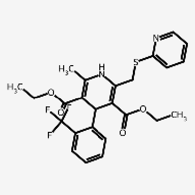 CCOC(=O)C1=C(C)NC(CSc2ccccn2)=C(C(=O)OCC)C1c1ccccc1C(F)(F)F